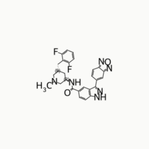 CN1C[C@H](Cc2c(F)cccc2F)C[C@@H](NC(=O)c2ccc3[nH]nc(-c4ccc5nonc5c4)c3c2)C1